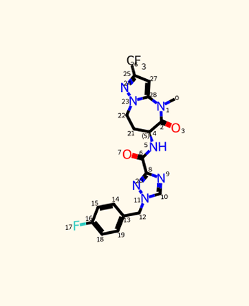 CN1C(=O)[C@@H](NC(=O)c2ncn(Cc3ccc(F)cc3)n2)CCn2nc(C(F)(F)F)cc21